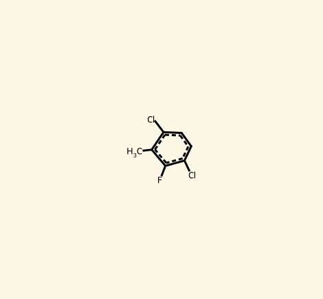 Cc1c(Cl)ccc(Cl)c1F